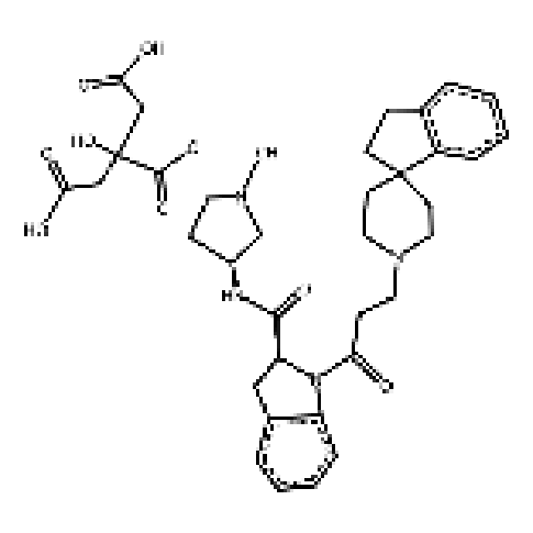 CN1CC[C@H](NC(=O)[C@@H]2Cc3ccccc3N2C(=O)CCN2CCC3(CCc4ccccc43)CC2)C1.O=C(O)CC(O)(CC(=O)O)C(=O)O